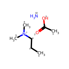 CC(=O)O.CCCN(C)C.N